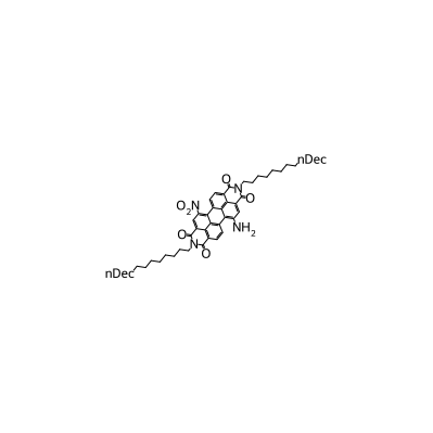 CCCCCCCCCCCCCCCCCCN1C(=O)c2ccc3c4c([N+](=O)[O-])cc5c6c(ccc(c7c(N)cc(c2c37)C1=O)c64)C(=O)N(CCCCCCCCCCCCCCCCCC)C5=O